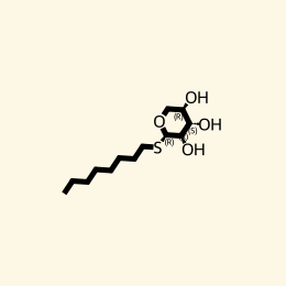 CCCCCCCCS[C@H]1OC[C@@H](O)[C@H](O)[C@H]1O